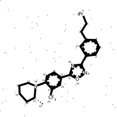 C[C](C)CCc1cccc(-c2noc(-c3ccc(N4CCCC[C@H]4C)c(C(F)(F)F)c3)n2)c1